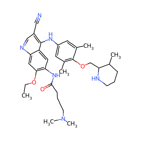 CCOc1cc2ncc(C#N)c(Nc3cc(C)c(OCC4NCCCC4C)c(C)c3)c2cc1NC(=O)CCCN(C)C